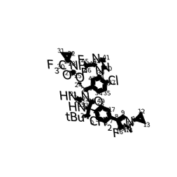 C=C(C(C)(C)C)[C@]1(c2ccc(-c3cn(C4CC4)nc3F)cc2)NC(=N)N([C@H](COC(=O)NC2(C(F)(F)F)CC2)c2ccc(Cl)c(-n3ncnc3C(F)F)c2)C1=O